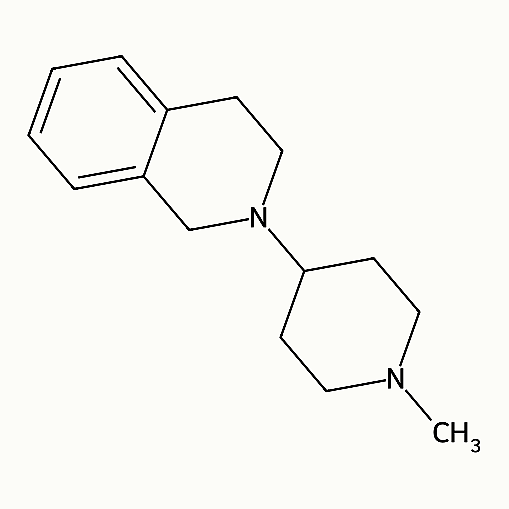 CN1CCC(N2CCc3ccccc3C2)CC1